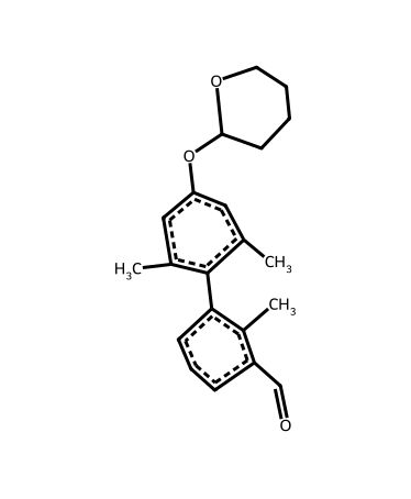 Cc1cc(OC2CCCCO2)cc(C)c1-c1cccc(C=O)c1C